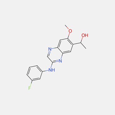 COc1cc2ncc(Nc3cccc(F)c3)nc2cc1C(C)O